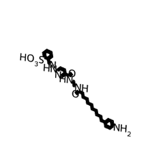 Nc1ccc(CCCCCCCCCCC(=O)NCCNC(=O)c2ccc(NN=Cc3ccccc3S(=O)(=O)O)nc2)cc1